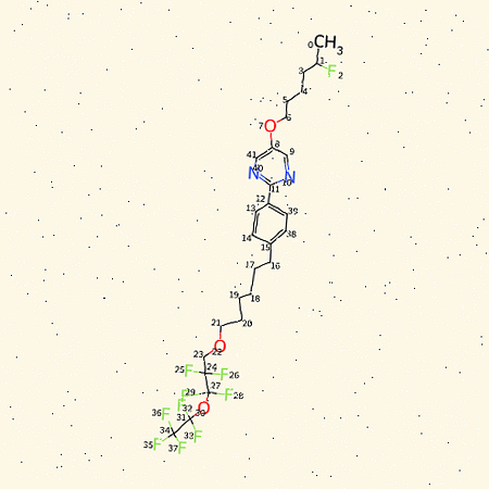 CC(F)CCCCOc1cnc(-c2ccc(CCCCCCOCC(F)(F)C(F)(F)OC(F)(F)C(F)(F)F)cc2)nc1